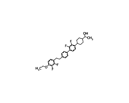 CCOc1ccc(CCc2ccc(-c3ccc(C4CCC(C(C)O)CC4)c(F)c3F)cc2)c(F)c1F